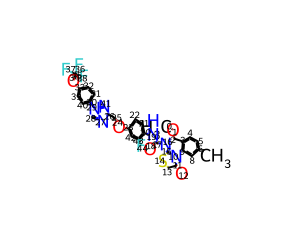 COCc1ccc(C)cc1N1C(=O)CSC1=NC(=O)Nc1ccc(OCc2ncn(-c3ccc(OC(F)(F)F)cc3)n2)cc1F